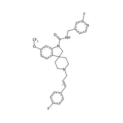 O=C(NCc1ccnc(F)c1)N1CC2(CCN(C/C=C/c3ccc(F)cc3)CC2)c2ccc(OC(F)(F)F)cc21